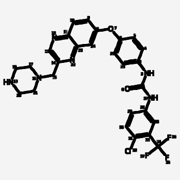 O=C(Nc1ccc(Oc2ccc3ncc(CN4CCNCC4)nc3c2)cc1)Nc1ccc(Cl)c(C(F)(F)F)c1